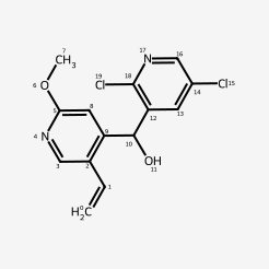 C=Cc1cnc(OC)cc1C(O)c1cc(Cl)cnc1Cl